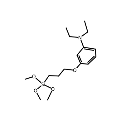 CCN(CC)c1cccc(OCCC[Si](OC)(OC)OC)c1